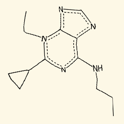 CCCNc1nc(C2CC2)n(CC)c2ncnc1-2